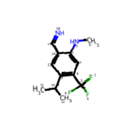 CNc1cc(C(F)(F)F)c(C(C)C)cc1C=N